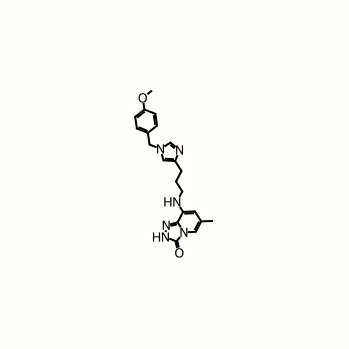 COc1ccc(Cn2cnc(CCCNc3cc(C)cn4c(=O)[nH]nc34)c2)cc1